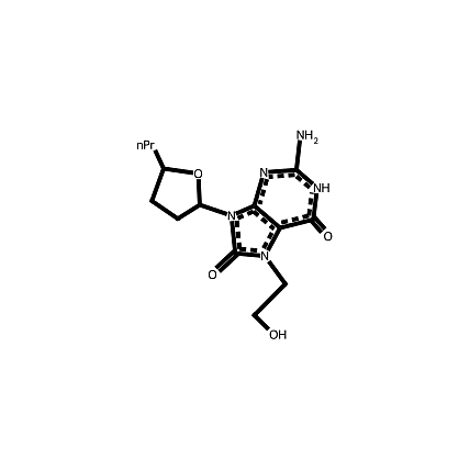 CCCC1CCC(n2c(=O)n(CCO)c3c(=O)[nH]c(N)nc32)O1